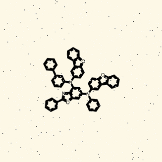 c1ccc(-c2cccc(N(c3ccc4oc5ccccc5c4c3)c3cc(N(c4ccccc4)c4ccc5oc6ccccc6c5c4)cc4oc(-c5ccccc5)nc34)c2)cc1